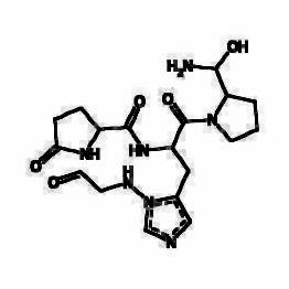 NC(O)C1CCCN1C(=O)C(Cc1cncn1NCC=O)NC(=O)C1CCC(=O)N1